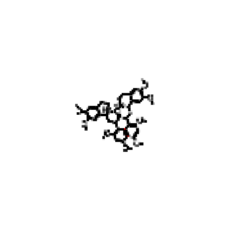 COc1ccc(C(CC2NCCc3cc(OC)c(OC)cc32)C(=O)C(CC2NCCc3cc(OC)c(OC)cc32)c2ccc(OC)cc2OC)c(OC)c1